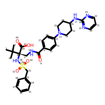 CC(C)(C)[C@@](CNC(=O)c1ccc(N2CCC(Nc3ncccn3)CC2)cc1)(NS(=O)(=O)Cc1ccccc1)C(=O)O